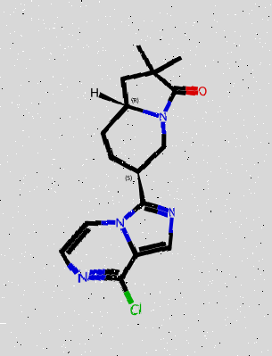 CC1(C)C[C@H]2CC[C@H](c3ncc4c(Cl)nccn34)CN2C1=O